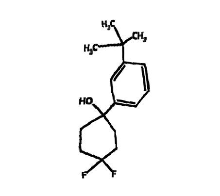 CC(C)(C)c1cccc(C2(O)CCC(F)(F)CC2)c1